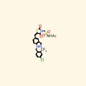 CC(=O)NS(=O)(=O)CN1C(=O)SC(=Cc2ccc3c(cnn3Cc3ccc(Cl)cc3C(F)(F)F)c2)C1=O